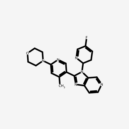 Cc1cc(N2CCOCC2)ncc1-c1nc2ccncc2n1C1CC=C(F)C=N1